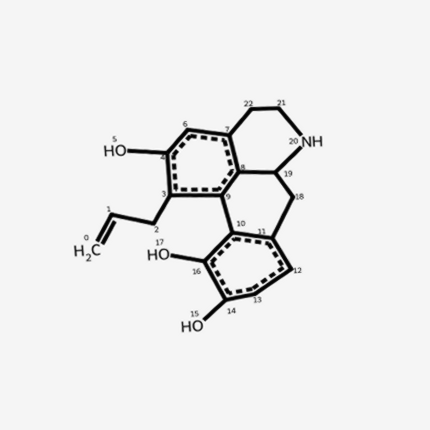 C=CCc1c(O)cc2c3c1-c1c(ccc(O)c1O)CC3NCC2